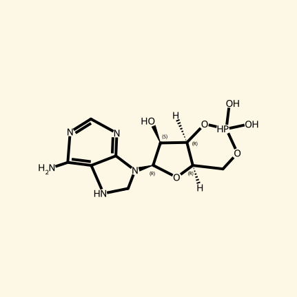 Nc1ncnc2c1NCN2[C@@H]1O[C@@H]2CO[PH](O)(O)O[C@@H]2[C@@H]1O